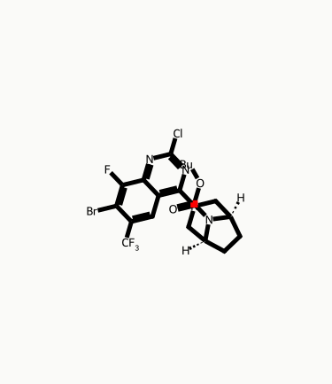 CC(C)(C)OC(=O)N1[C@@H]2CC[C@H]1CN(c1nc(Cl)nc3c(F)c(Br)c(C(F)(F)F)cc13)C2